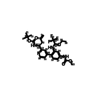 C=CC[C@H](NC(=O)OC(C)(C)C)c1cc(-c2ccc(NC(=O)OC)cc2NC(OCC)C(F)(F)F)ccn1